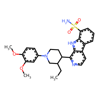 CCC1CN(c2ccc(OC)c(OC)c2)CCC1c1nccc2c1[nH]c1c(S(N)(=O)=O)cccc12